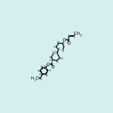 C/C=C/C(=O)O[C@H]1CC[C@H]([C@H]2CC[C@H](C(=O)Oc3ccc(CC)cc3)CC2)CC1